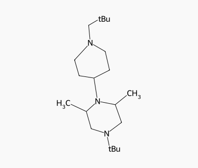 CC1CN(C(C)(C)C)CC(C)N1C1CCN(CC(C)(C)C)CC1